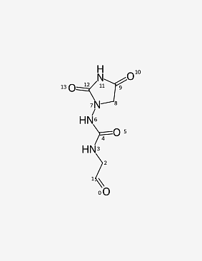 O=[C]CNC(=O)NN1CC(=O)NC1=O